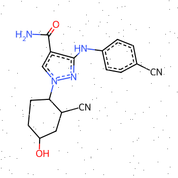 N#Cc1ccc(Nc2nn(C3CCC(O)CC3C#N)cc2C(N)=O)cc1